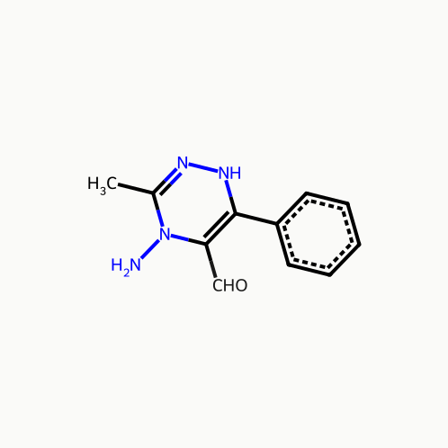 CC1=NNC(c2ccccc2)=C(C=O)N1N